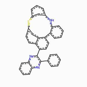 c1ccc(-c2nc3ccccc3nc2-c2ccc3c4ccccc4[nH]c4cccc(c4)sc4ccc2c3c4)cc1